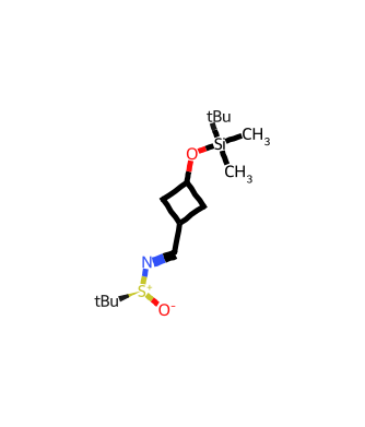 CC(C)(C)[S@+]([O-])N=CC1CC(O[Si](C)(C)C(C)(C)C)C1